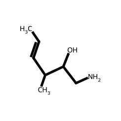 CC=CC(C)C(O)CN